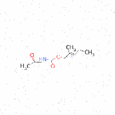 CC/C=C(\C)COC(=O)NCC(C)=O